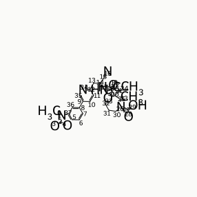 Cn1c(=O)oc2ccc(-c3ccc(CC(C#N)NC(=O)[C@]4(C(C)(C)C)CN(C(=O)O)CCCO4)nc3)cc21